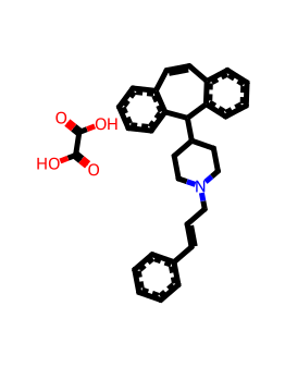 C(=Cc1ccccc1)CN1CCC(C2c3ccccc3C=Cc3ccccc32)CC1.O=C(O)C(=O)O